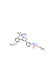 C=CCOC(=O)Nc1cccc(C(=O)C=C2NC(C)(C)Cc3ccc(OC)cc32)c1